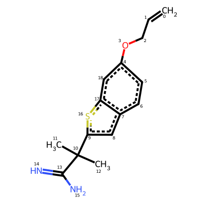 C=CCOc1ccc2cc(C(C)(C)C(=N)N)sc2c1